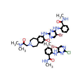 CNC(=O)c1ccccc1Nc1nc(Cl)ncc1Br.CNC(=O)c1ccccc1Nc1nc(Nc2cc3c(cc2OC)CCN(CC(=O)N(C)C)CC3)ncc1Br